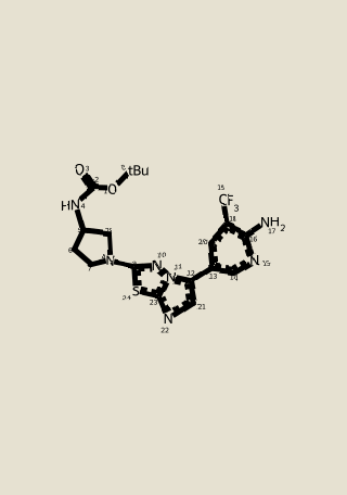 CC(C)(C)OC(=O)NC1CCN(c2nn3c(-c4cnc(N)c(C(F)(F)F)c4)cnc3s2)C1